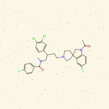 CC(=O)N1CC2(CCN(CCC(CN(C)C(=O)c3ccc(F)cc3)c3ccc(Cl)c(Cl)c3)CC2)c2cc(F)ccc21